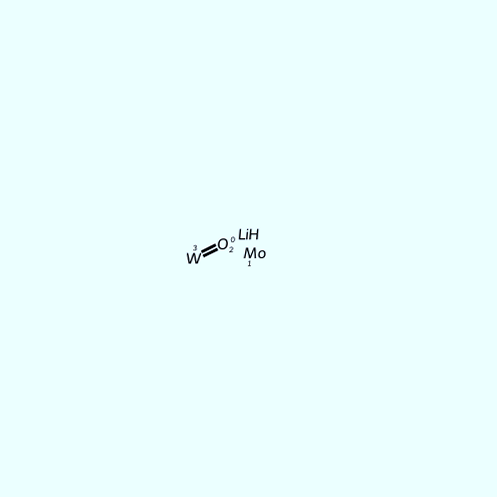 [LiH].[Mo].[O]=[W]